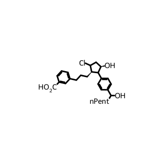 CCCCCC(O)c1ccc(C2[C@@H](CCCc3cccc(C(=O)O)c3)C(Cl)C[C@H]2O)cc1